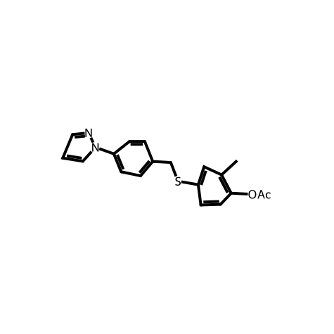 CC(=O)Oc1ccc(SCc2ccc(-n3cccn3)cc2)cc1C